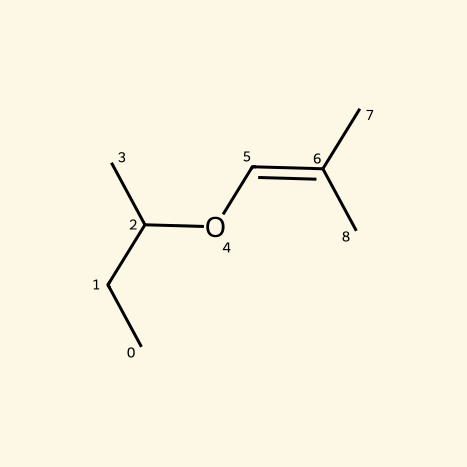 CCC(C)OC=C(C)C